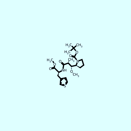 COC(=O)[C@H](Cc1ccsc1)NC(=O)[C@H](C)[C@@H](OC)[C@@H]1CCCN1C(=O)OC(C)(C)C